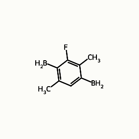 Bc1cc(C)c(B)c(F)c1C